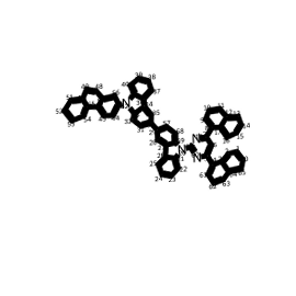 c1ccc2c(-c3cc(-c4cccc5ccccc45)nc(-n4c5ccccc5c5cc(-c6ccc7c(c6)c6ccccc6n7-c6ccc7c(ccc8ccccc87)c6)ccc54)n3)cccc2c1